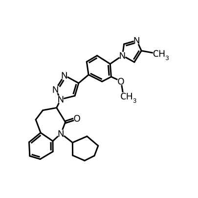 COc1cc(-c2cn(C3CCc4ccccc4N(C4CCCCC4)C3=O)nn2)ccc1-n1cnc(C)c1